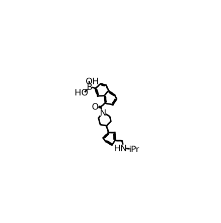 CC(C)NCc1cccc(C2CCN(C(=O)c3cccc4ccc(B(O)O)cc34)CC2)c1